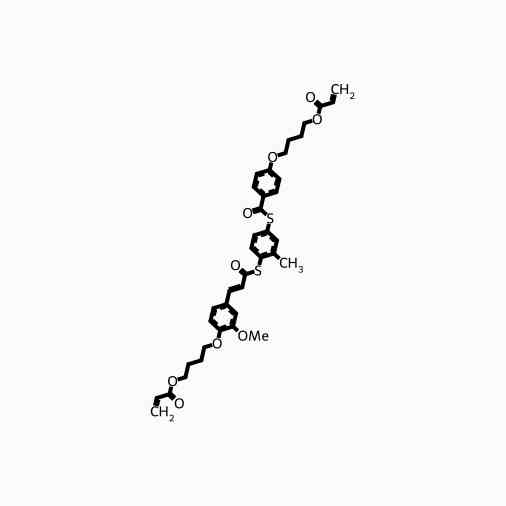 C=CC(=O)OCCCCOc1ccc(C(=O)Sc2ccc(SC(=O)/C=C/c3ccc(OCCCCOC(=O)C=C)c(OC)c3)c(C)c2)cc1